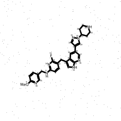 COc1ccc(CNc2ccc(Cc3c[nH]c4ncc(-c5cnn(C6CCNCC6)c5)cc34)c(F)n2)cn1